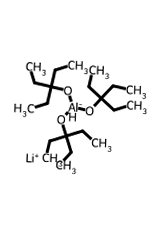 CCC(CC)(CC)[O][AlH-]([O]C(CC)(CC)CC)[O]C(CC)(CC)CC.[Li+]